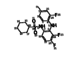 Cc1ccc(Nc2c(NS(=O)(=O)C3CCCCC3)ccc(F)c2F)c(F)c1